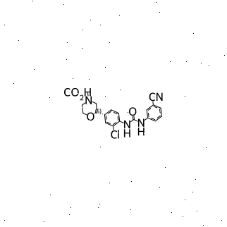 N#Cc1cccc(NC(=O)Nc2ccc([C@H]3CN(C(=O)O)CCO3)cc2Cl)c1